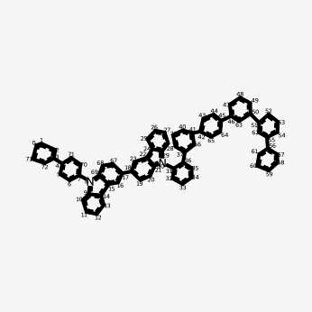 c1ccc(-c2ccc(-n3c4ccccc4c4cc(-c5ccc6c(c5)c5ccccc5n6-c5ccccc5-c5cccc(-c6ccc(-c7cccc(-c8cccc(-c9ccccc9)c8)c7)cc6)c5)ccc43)cc2)cc1